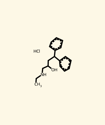 CCNCC(O)CC(c1ccccc1)c1ccccc1.Cl